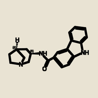 O=C(N[C@@H]1C[C@@H]2CCN(C2)C1)c1ccc2[nH]c3ccccc3c2c1